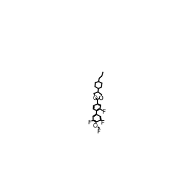 CCCC1CCC(C2COC(c3ccc(-c4cc(F)c(OCF)c(F)c4)c(F)c3)OC2)CC1